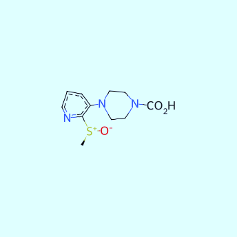 C[S@+]([O-])c1ncccc1N1CCN(C(=O)O)CC1